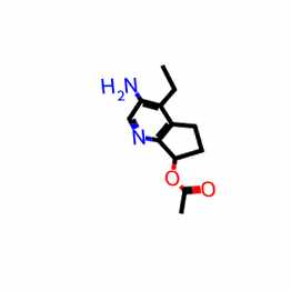 CCc1c(N)cnc2c1CCC2OC(C)=O